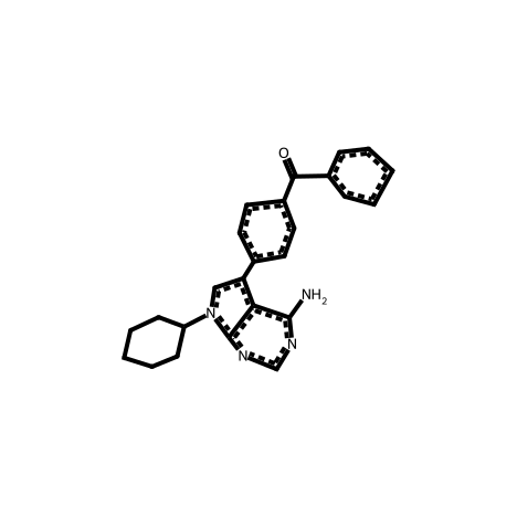 Nc1ncnc2c1c(-c1ccc(C(=O)c3ccccc3)cc1)cn2C1CCCCC1